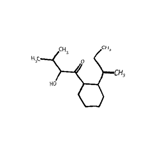 CCC(C)C1CCCCC1C(=O)C(O)C(C)C